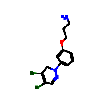 NCCCOc1cccc(N2CC(Br)=C(Br)C=N2)c1